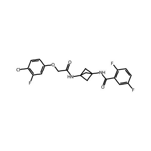 O=C(COc1ccc(Cl)c(F)c1)NC12CC(NC(=O)c3cc(F)ccc3F)(C1)C2